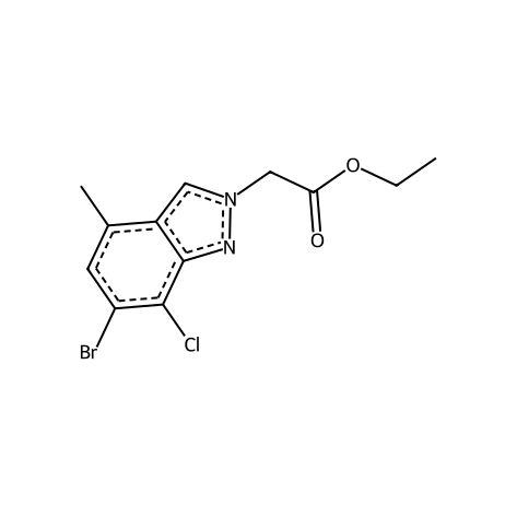 CCOC(=O)Cn1cc2c(C)cc(Br)c(Cl)c2n1